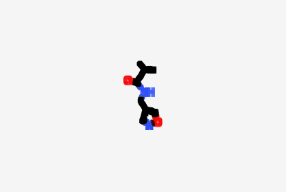 C=C(C)C(=O)NCc1cnoc1